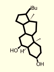 CCC(C)C1CCC2C3C[C@H](O)[C@@H]4C[C@H](O)CC[C@]4(C)C3CC[C@]12C